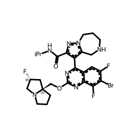 CC(C)NC(=O)c1nn2c(c1-c1nc(OC[C@@]34CCCN3C[C@H](F)C4)nc3c(F)c(Br)c(F)cc13)CNCCC2